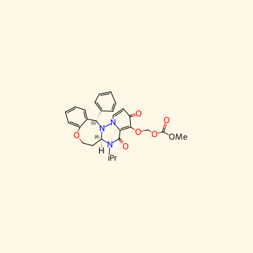 COC(=O)OCOc1c2n(ccc1=O)N1[C@@H](c3ccccc3)c3ccccc3OCC[C@@H]1N(C(C)C)C2=O